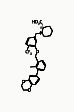 Cc1c(COc2cc(CN3CCCC[C@H]3C(=O)O)ccc2C(F)(F)F)cccc1-c1ccc2c(c1)OCCO2